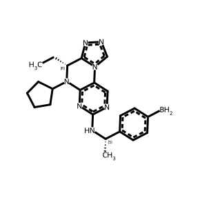 Bc1ccc([C@H](C)Nc2ncc3c(n2)N(C2CCCC2)[C@H](CC)c2nncn2-3)cc1